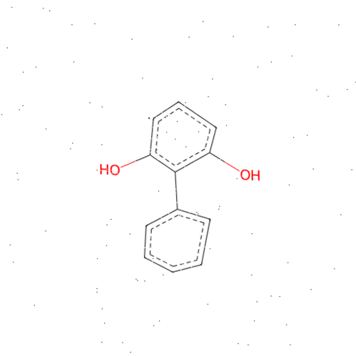 Oc1[c]ccc(O)c1-c1ccccc1